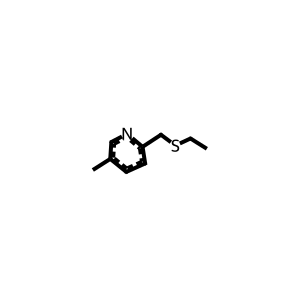 CCSCc1ccc(C)cn1